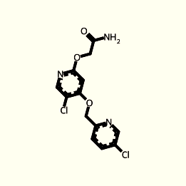 NC(=O)COc1cc(OCc2ccc(Cl)cn2)c(Cl)cn1